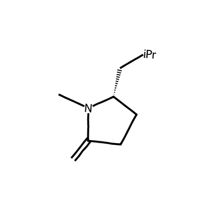 C=C1CC[C@@H](CC(C)C)N1C